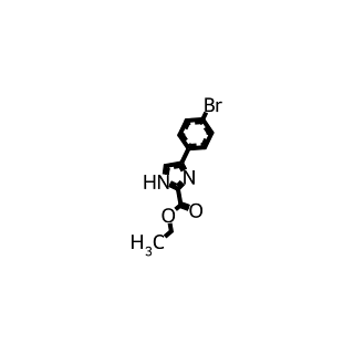 CCOC(=O)c1nc(-c2ccc(Br)cc2)c[nH]1